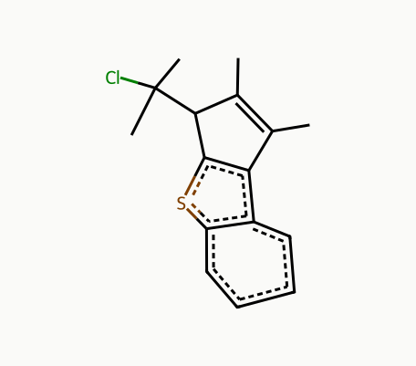 CC1=C(C)C(C(C)(C)Cl)c2sc3ccccc3c21